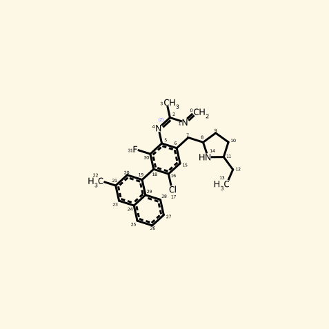 C=N/C(C)=N\c1c(CC2CCC(CC)N2)cc(Cl)c(-c2cc(C)cc3ccccc23)c1F